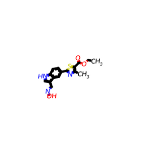 CCOC(=O)c1sc(-c2ccc3[nH]cc(C=NO)c3c2)nc1C